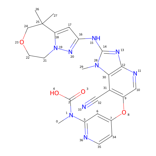 CN(C(=O)O)c1cc(Oc2cnc3nc(Nc4cc5n(n4)CCOCC5(C)C)n(C)c3c2C#N)ccn1